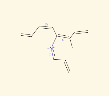 C=C\C=C/C(=C(/C)C=C)[N+](/C)=C\C=C